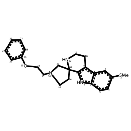 CSc1ccc2[nH]c3c(c2c1)CCNC31CCN(CCOc2ccccc2)C1